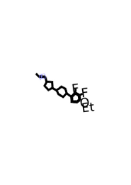 C/C=C/C1CCC(C2CCC(c3ccc(OCC)c(F)c3F)CC2)C1